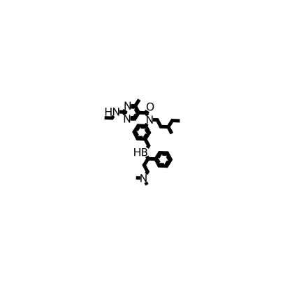 CCNc1ncc(C(=O)N(CCC(C)CC)c2cccc(CBC(CCN(C)C)c3ccccc3)c2)c(C)n1